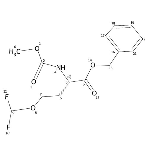 COC(=O)N[C@@H](CCOC(F)F)C(=O)OCc1ccccc1